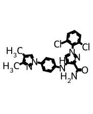 Cc1cn(-c2ccc(Nc3cn(-c4c(Cl)cccc4Cl)nc3C(N)=O)cc2)nc1C